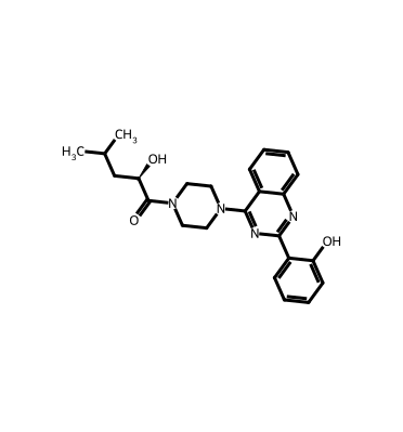 CC(C)C[C@@H](O)C(=O)N1CCN(c2nc(-c3ccccc3O)nc3ccccc23)CC1